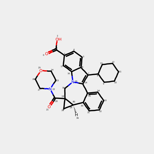 O=C(O)c1ccc2c(C3CCCCC3)c3n(c2c1)CC1(C(=O)N2CCOCC2)C[C@@H]1c1ccccc1-3